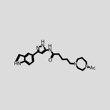 CC(=O)N1CCCN(CCCCC(=O)Nc2cc(-c3ccc4[nH]ccc4c3)n[nH]2)CC1